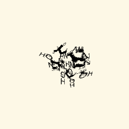 C=C(C)CCNc1ncnc2nc[nH]c12.OC[C@H]1O[C@@H](n2cnc3c(O)ncnc32)[C@H](O)[C@@H]1O